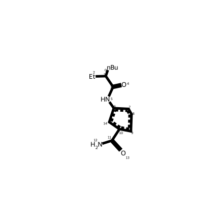 CCCCC(CC)C(=O)Nc1cccc(C(N)=O)c1